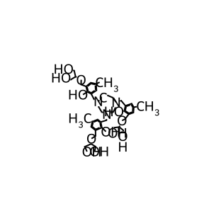 Cc1cc(COC(CO)CO)c(O)c(CN2CCCN(Cc3cc(C)cc(COC(CO)CO)c3O)CCN(Cc3cc(C)cc(COC(CO)CO)c3O)CC2)c1